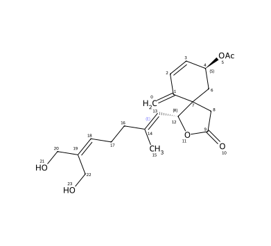 C=C1C=C[C@@H](OC(C)=O)CC12CC(=O)O[C@@H]2/C=C(\C)CCC=C(CO)CO